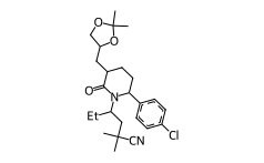 CCC(CC(C)(C)C#N)N1C(=O)C(CC2COC(C)(C)O2)CCC1c1ccc(Cl)cc1